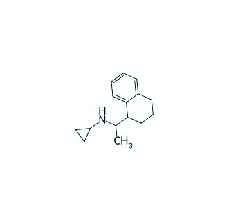 CC(NC1CC1)C1CCCc2ccccc21